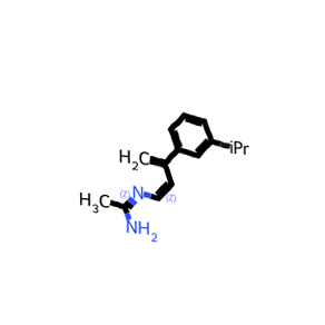 C=C(/C=C\N=C(\C)N)c1cccc(C(C)C)c1